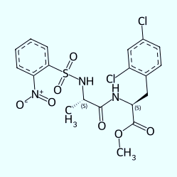 COC(=O)[C@H](Cc1ccc(Cl)cc1Cl)NC(=O)[C@H](C)NS(=O)(=O)c1ccccc1[N+](=O)[O-]